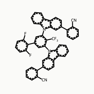 N#Cc1ccccc1-c1ccc2c3ccccc3n(-c3cc(-c4c(F)cccc4F)cc(-n4c5ccccc5c5ccc(-c6ccccc6C#N)cc54)c3C(F)(F)F)c2c1